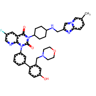 Cc1ccc2nc(CNC3CCC(n4c(=O)c5cc(F)cnc5n(-c5cccc(-c6ccc(O)cc6CN6CCOCC6)c5)c4=O)CC3)cn2c1